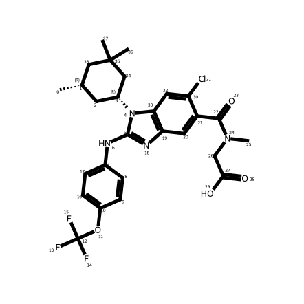 C[C@H]1C[C@@H](n2c(Nc3ccc(OC(F)(F)F)cc3)nc3cc(C(=O)N(C)CC(=O)O)c(Cl)cc32)CC(C)(C)C1